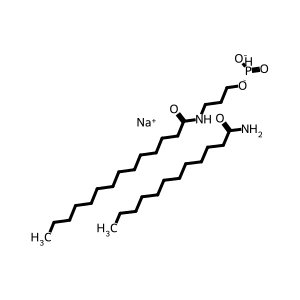 CCCCCCCCCCCC(N)=O.CCCCCCCCCCCCCC(=O)NCCCO[PH](=O)[O-].[Na+]